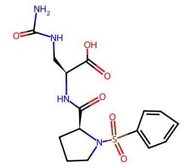 NC(=O)NC[C@H](NC(=O)[C@@H]1CCCN1S(=O)(=O)c1ccccc1)C(=O)O